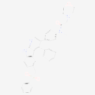 CN(C(=O)CN1CCOCC1)c1ccc(-c2cnc3[nH]c4ccc(CS(=O)(=O)c5ccccc5)cc4c3c2-c2ccccc2)cc1